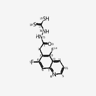 O=C(Cc1c(F)cc2ncccc2c1F)NNC(=S)S